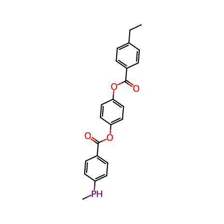 CCc1ccc(C(=O)Oc2ccc(OC(=O)c3ccc(PC)cc3)cc2)cc1